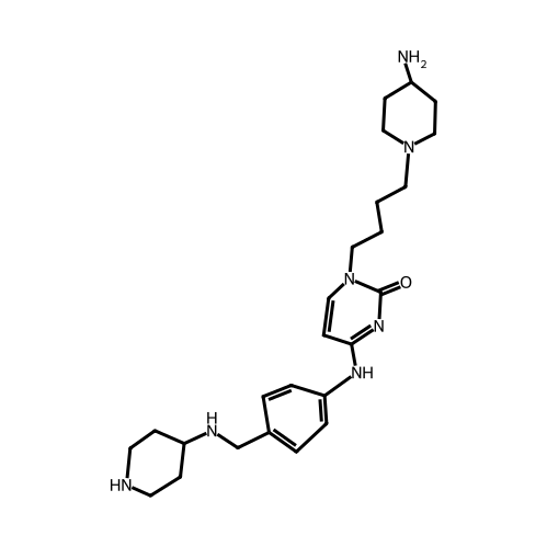 NC1CCN(CCCCn2ccc(Nc3ccc(CNC4CCNCC4)cc3)nc2=O)CC1